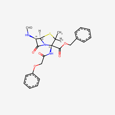 CC1(C)S[C@@H]2[C@H](NC=O)C(=O)N2[C@@]1(NC(=O)COc1ccccc1)C(=O)OCc1ccccc1